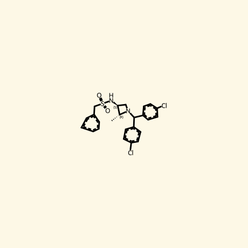 C[C@@H]1[C@@H](NS(=O)(=O)Cc2ccccc2)CN1C(c1ccc(Cl)cc1)c1ccc(Cl)cc1